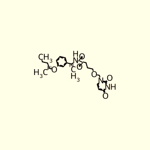 CCC[C@@H](C)Oc1cccc([C@@H](C)NS(=O)(=O)CCCOCn2ccc(=O)[nH]c2=O)c1